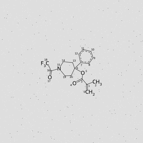 C=C(C)C(=O)OC1(c2ccccc2)CCN(C(=O)C(F)(F)F)CC1